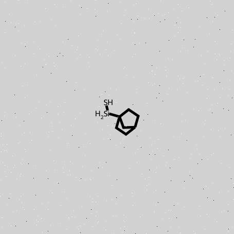 S[SiH2]C12CCC(CC1)C2